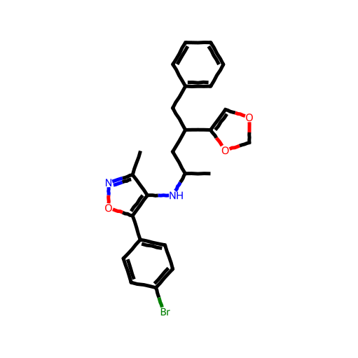 Cc1noc(-c2ccc(Br)cc2)c1NC(C)CC(Cc1ccccc1)C1=COCO1